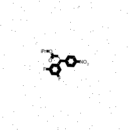 CC(C)OC(=O)C[C@H](c1ccc([N+](=O)[O-])cc1)c1cc(F)cc(F)c1